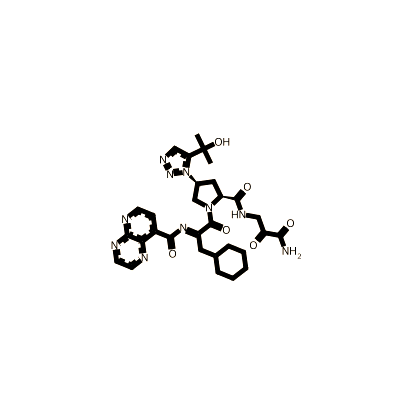 CC(C)(O)c1cnnn1[C@H]1C[C@@H](C(=O)NCC(=O)C(N)=O)N(C(=O)/C(CC2CCCCC2)=N/C(=O)c2ccnc3nccnc23)C1